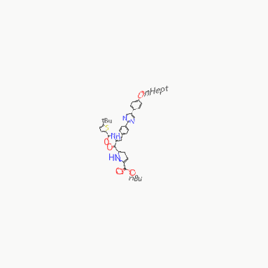 CCCCCCCOc1ccc(-c2cnc(-c3ccc(CC(NC(=O)c4ccc(C(C)(C)C)s4)C(=O)C4CCC(C(=O)OCCCC)N4)cc3)nc2)cc1